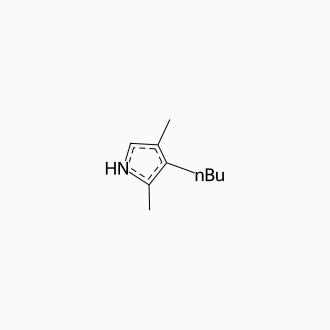 CCCCc1c(C)c[nH]c1C